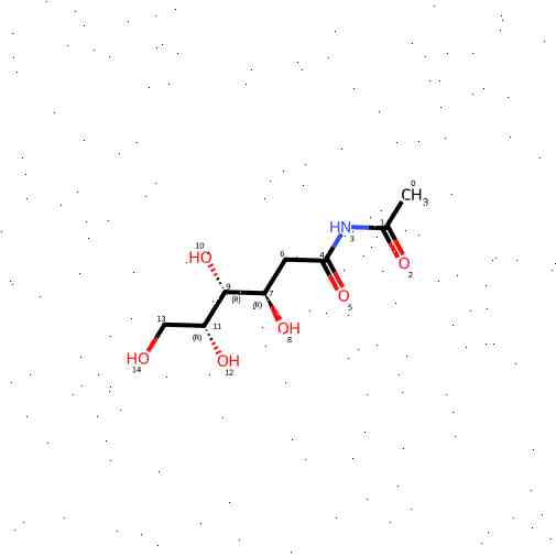 CC(=O)NC(=O)C[C@@H](O)[C@@H](O)[C@H](O)CO